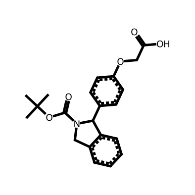 CC(C)(C)OC(=O)N1Cc2ccccc2C1c1ccc(OCC(=O)O)cc1